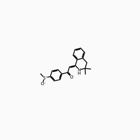 C[S+]([O-])c1ccc(C(=O)C=C2NC(C)(C)Cc3ccccc32)cc1